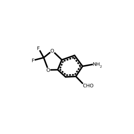 Nc1cc2c(cc1C=O)OC(F)(F)O2